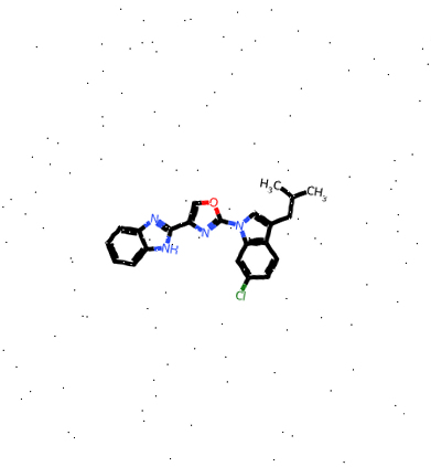 CC(C)Cc1cn(-c2nc(-c3nc4ccccc4[nH]3)co2)c2cc(Cl)ccc12